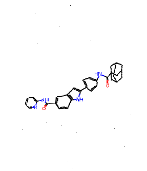 O=C(Nc1ccccn1)c1ccc2[nH]c(-c3ccc(NC(=O)C45CC6CC(CC(C6)C4)C5)cc3)cc2c1